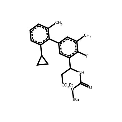 CCOC(=O)CC(NC(=O)OC(C)(C)C)c1cc(-c2c(C)cccc2C2CC2)cc(C)c1F